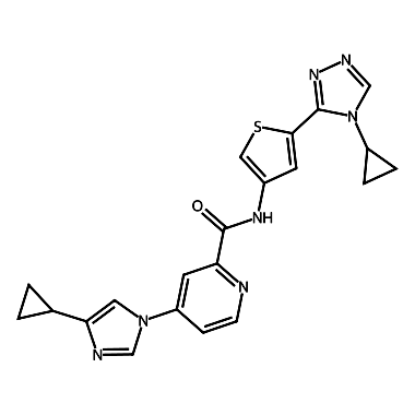 O=C(Nc1csc(-c2nncn2C2CC2)c1)c1cc(-n2cnc(C3CC3)c2)ccn1